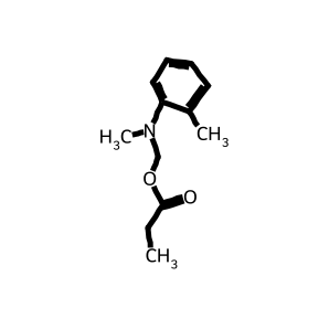 CCC(=O)OCN(C)c1ccccc1C